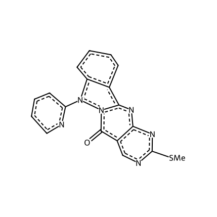 CSc1ncc2c(=O)n3c(nc2n1)c1ccccc1n3-c1ccccn1